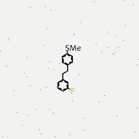 CSc1ccc(CCc2cccc(F)c2)cc1